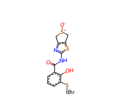 CC(C)(C)Sc1cccc(C(=O)Nc2nc3c(s2)C[S+]([O-])C3)c1O